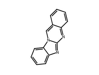 c1ccc2nc3nc4ccccc4n3cc2c1